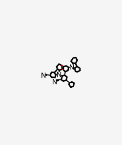 N#Cc1ccc2c(c1)c1ccccc1n2-c1c(C#N)cc(-c2ccccc2)cc1-c1cccc(-n2c3ccccc3c3ccccc32)c1